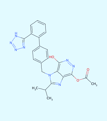 CC(=O)Oc1nnc(O)c2c1nc(C(C)C)n2Cc1ccc(-c2ccccc2-c2nnn[nH]2)cc1